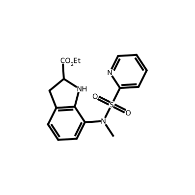 CCOC(=O)C1Cc2cccc(N(C)S(=O)(=O)c3ccccn3)c2N1